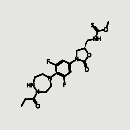 CCC(=O)N1CCN(c2c(F)cc(N3C[C@H](CNC(=S)OC)OC3=O)cc2F)CCN1